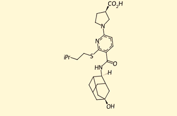 CC(C)CCSc1nc(N2CC[C@@H](C(=O)O)C2)ccc1C(=O)N[C@H]1C2CC3CC1C[C@@](O)(C3)C2